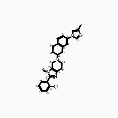 Cc1cn(-c2ccc3c(c2)CC(N2CCc4nc(-c5ccccc5Cl)n(C)c4C2)CC3)cn1